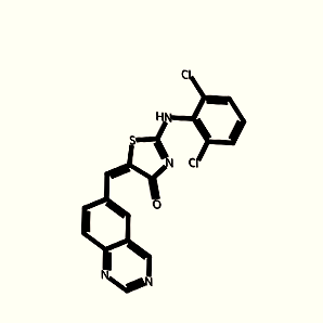 O=C1N=C(Nc2c(Cl)cccc2Cl)SC1=Cc1ccc2ncncc2c1